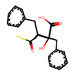 O=C(S)C(Cc1ccccc1)C(O)(Cc1ccccc1)C(=O)O